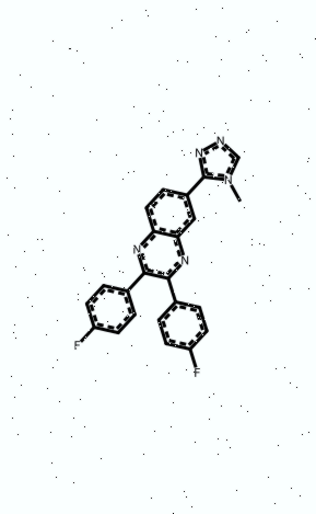 Cn1cnnc1-c1ccc2nc(-c3ccc(F)cc3)c(-c3ccc(F)cc3)nc2c1